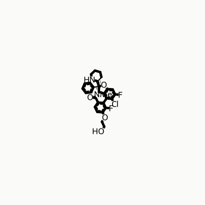 CNC(=O)c1ccc(OCCO)c(F)c1-c1c(Cl)c(F)cc2c1C[C@](c1ccccc1)([C@@H]1CCCCN1)O2